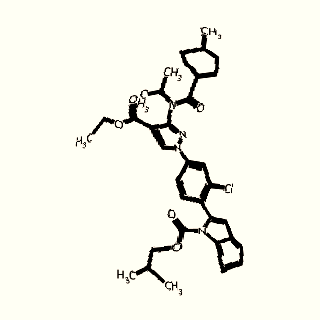 CCOC(=O)c1cn(-c2ccc(-c3cc4ccccc4n3C(=O)OCC(C)C)c(Cl)c2)nc1N(C(=O)C1CCC(C)CC1)C(C)C